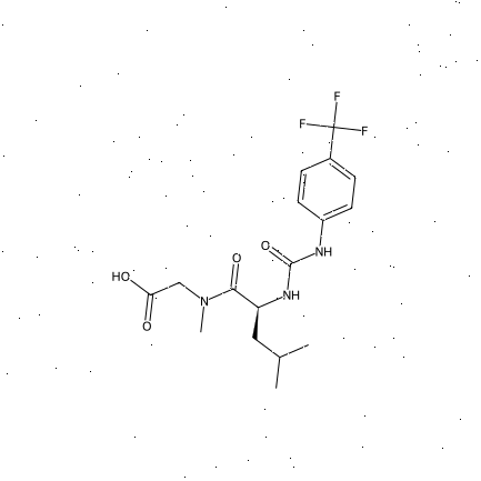 CC(C)C[C@H](NC(=O)Nc1ccc(C(F)(F)F)cc1)C(=O)N(C)CC(=O)O